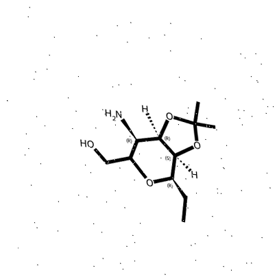 CC[C@H]1OC(CO)[C@@H](N)[C@H]2OC(C)(C)O[C@H]21